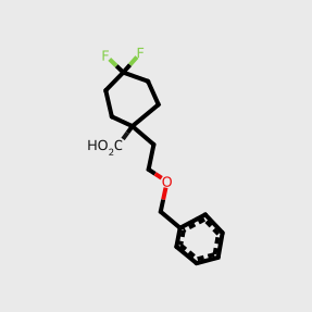 O=C(O)C1(CCOCc2ccccc2)CCC(F)(F)CC1